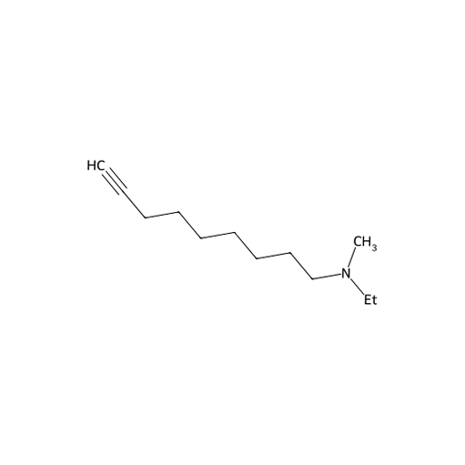 C#CCCCCCCCN(C)CC